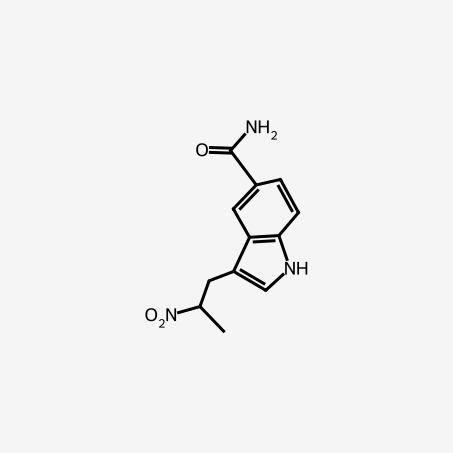 CC(Cc1c[nH]c2ccc(C(N)=O)cc12)[N+](=O)[O-]